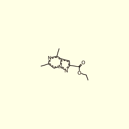 CCOC(=O)c1cc2c(C)nc(C)cn2n1